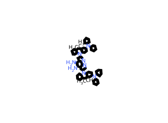 CC1(C)c2ccccc2N(c2cnc3c(c2)c(N)c(N)c2cc(N4c5ccccc5C(C)(C)c5cc(N(c6ccccc6)c6ccccc6)ccc54)cnc23)c2ccc(N(c3ccccc3)c3ccccc3)cc21